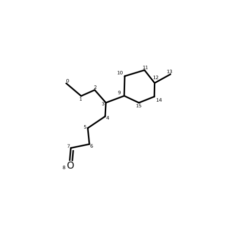 CCCC(CCCC=O)C1CCC(C)CC1